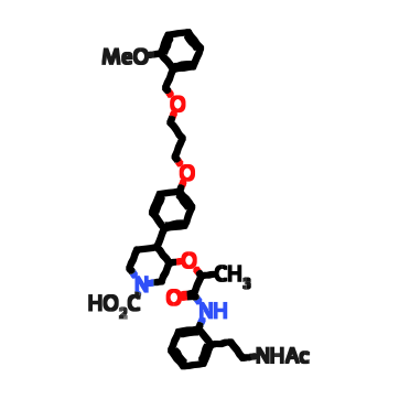 COc1ccccc1COCCCOc1ccc(C2CCN(C(=O)O)CC2OC(C)C(=O)Nc2ccccc2CCNC(C)=O)cc1